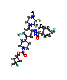 C[C@@H]1CN(c2cc(F)c(C3=CCN(C(=O)OC4CC(F)(F)C4)CC3)cc2NC(=O)c2ccc(F)cc2C(F)(F)F)CCN1C